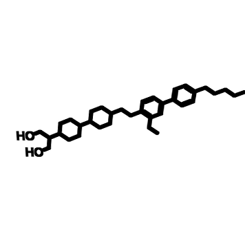 CCCCCc1ccc(-c2ccc(CCC3CCC(C4CCC(C(CO)CO)CC4)CC3)c(CC)c2)cc1